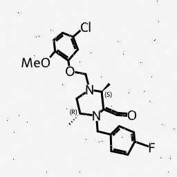 COc1ccc(Cl)cc1OCN1C[C@@H](C)N(Cc2ccc(F)cc2)C(=C=O)[C@@H]1C